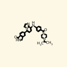 CC(C)N1CCN(C(=O)c2ccc(Nc3ccc(-c4ccc5c(c4)CNC5=O)n4ccnc34)cc2)CC1